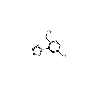 CCCOc1ncc(N)cc1-n1cccn1